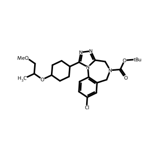 COCC(C)OC1CCC(c2nnc3n2-c2ccc(Cl)cc2CN(C(=O)OC(C)(C)C)C3)CC1